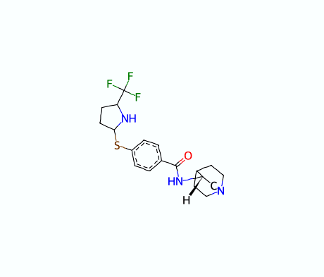 O=C(N[C@H]1CN2CCC1CC2)c1ccc(SC2CCC(C(F)(F)F)N2)cc1